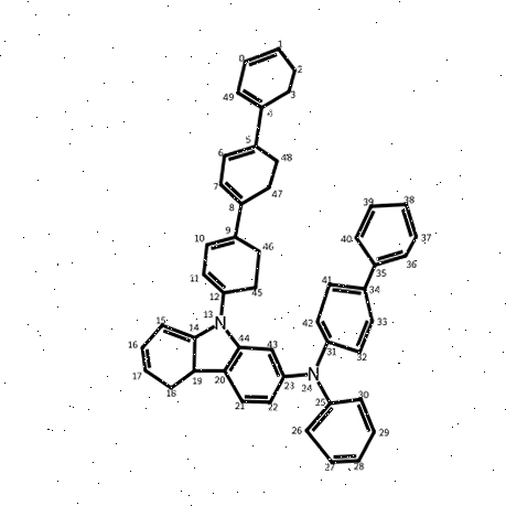 C1=CCCC(C2=CC=C(C3=CC=C(N4C5=CC=CCC5c5ccc(N(c6ccccc6)c6ccc(-c7ccccc7)cc6)cc54)CC3)CC2)=C1